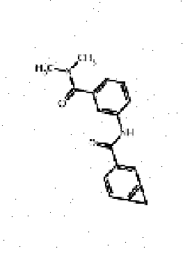 CN(C)C(=O)c1c[c]cc(NC(=O)c2ccc3c(c2)C3)c1